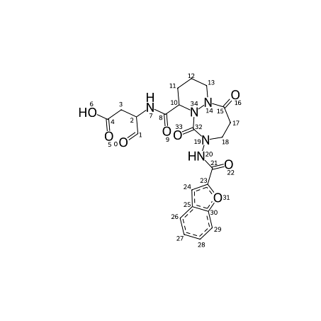 O=CC(CC(=O)O)NC(=O)C1CCCN2C(=O)CCN(NC(=O)c3cc4ccccc4o3)C(=O)N12